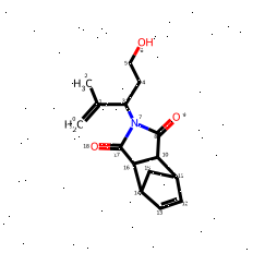 C=C(C)C(CCO)N1C(=O)C2C3C=CC(C3)C2C1=O